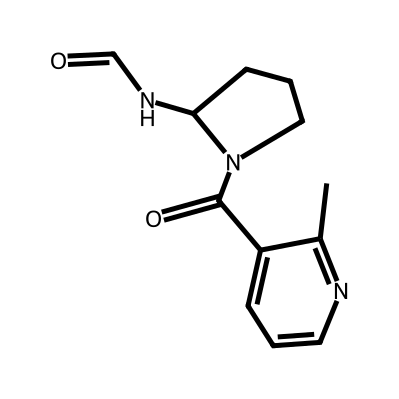 Cc1ncccc1C(=O)N1CCCC1NC=O